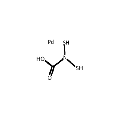 O=C(O)N(S)S.[Pd]